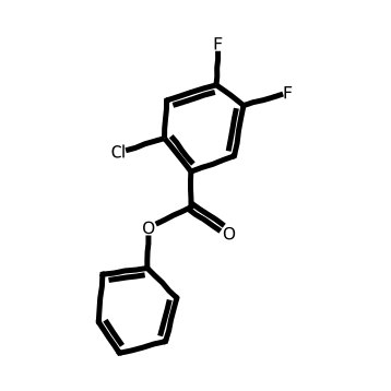 O=C(Oc1ccccc1)c1cc(F)c(F)cc1Cl